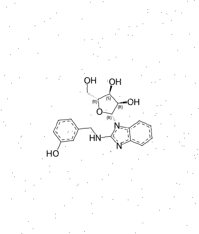 OC[C@H]1O[C@@H](n2c(NCc3cccc(O)c3)nc3ccccc32)[C@H](O)[C@@H]1O